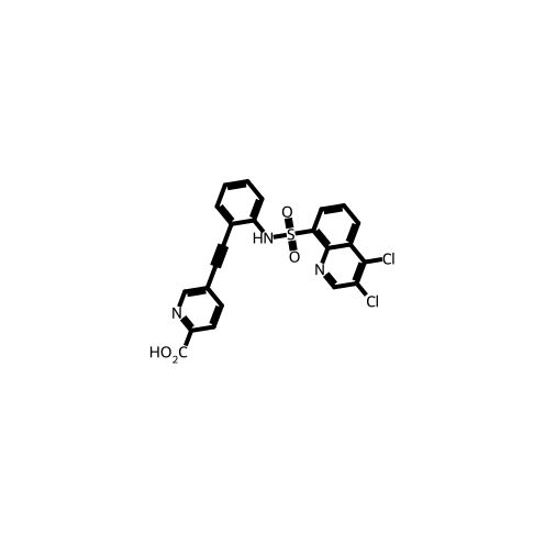 O=C(O)c1ccc(C#Cc2ccccc2NS(=O)(=O)c2cccc3c(Cl)c(Cl)cnc23)cn1